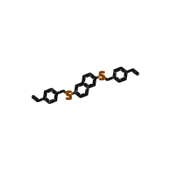 C=Cc1ccc(CSc2ccc3cc(SCc4ccc(C=C)cc4)ccc3c2)cc1